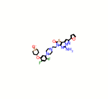 Nc1nc2c(sc(=O)n2CCN2CCN(c3cc(O[C@H]4CC[S@+]([O-])CC4)c(F)cc3F)CC2)c2cc(-c3ccco3)nn12